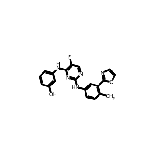 Cc1ccc(Nc2ncc(F)c(Nc3cccc(O)c3)n2)cc1-c1ncco1